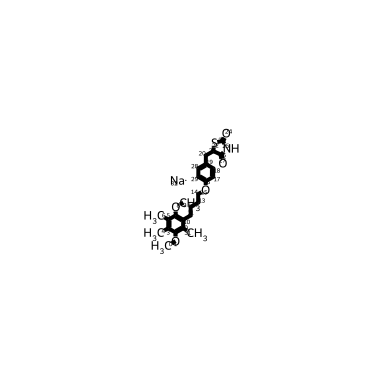 COc1c(C)c(C)c(OC)c(CCCCOc2ccc(CC3SC(=O)NC3=O)cc2)c1C.[Na]